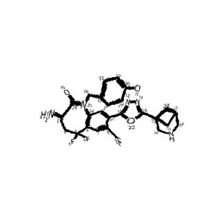 NC1CC(F)(F)c2cc(F)c(-c3nnc(C45CNCC(C4)C5)o3)cc2N(Cc2ccc(Cl)cc2)C1=O